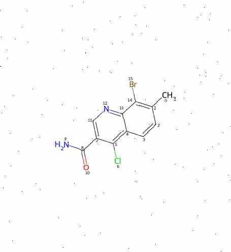 Cc1ccc2c(Cl)c(C(N)=O)cnc2c1Br